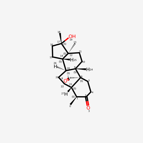 C[C@@H]1C(=O)CC[C@]2(C=O)[C@H]3CC[C@@]4(C)[C@@H](CC[C@]4(C)O)[C@@H]3CC[C@@H]12